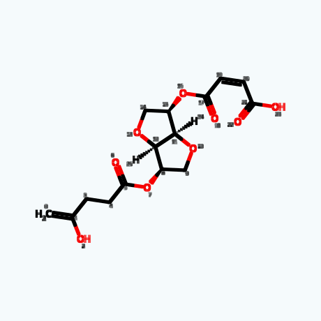 C=C(O)CCC(=O)O[C@@H]1CO[C@H]2[C@@H]1OC[C@H]2OC(=O)/C=C\C(=O)O